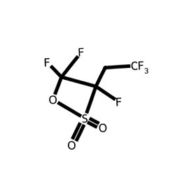 O=S1(=O)OC(F)(F)C1(F)CC(F)(F)F